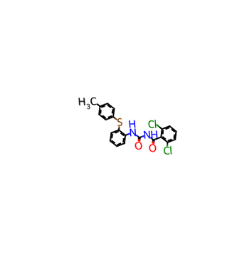 Cc1ccc(Sc2ccccc2NC(=O)NC(=O)c2c(Cl)cccc2Cl)cc1